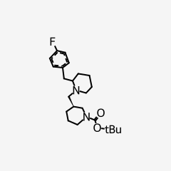 CC(C)(C)OC(=O)N1CCC[C@@H](CN2CCCCC2Cc2ccc(F)cc2)C1